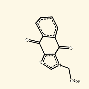 CCCCCCCCCCn1cnc2c1C(=O)c1ccccc1C2=O